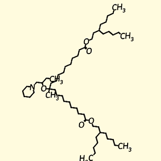 CCCCCC(CCCCC)CCOC(=O)CCCCCCCCCC(C)(CCCCCCCCCC(=O)OCCC(CCCCC)CCCCC)OC(CC)CN1CCCCC1